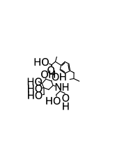 CC(C)Cc1ccc(C(C)C(=O)O)cc1.OCC(CO)N[C@H]1C[C@](O)(CO)[C@@H](O)[C@H](O)[C@H]1O